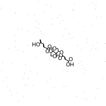 C=C(O)C=CC(=O)O[C@@H]1CO[C@H]2[C@@H]1OC[C@H]2OC(=O)C=CC(=O)O